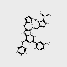 Cn1c(COc2c(Cc3ccco3)nc3c(Cc4ccccc4)nc(-c4cccc(O)c4)cn23)cnc1[N+](=O)[O-]